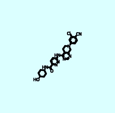 N#Cc1ccc(N2CCc3c(ncnc3Nc3ccc(C(=O)N[C@H]4CC[C@H](O)CC4)nn3)C2)cc1Cl